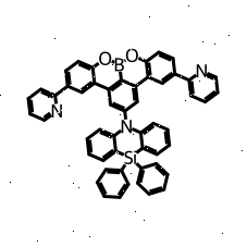 c1ccc([Si]2(c3ccccc3)c3ccccc3N(c3cc4c5c(c3)-c3cc(-c6ccccn6)ccc3OB5Oc3ccc(-c5ccccn5)cc3-4)c3ccccc32)cc1